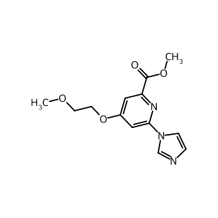 COCCOc1cc(C(=O)OC)nc(-n2ccnc2)c1